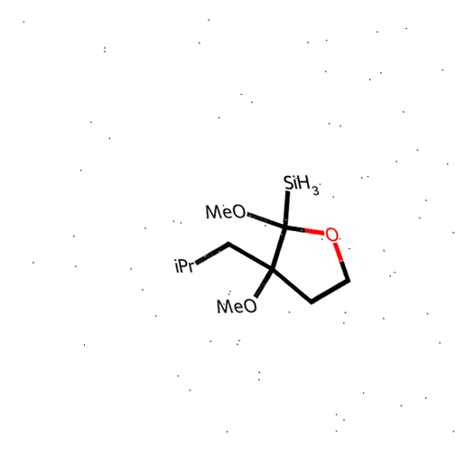 COC1(CC(C)C)CCOC1([SiH3])OC